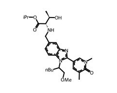 CCCCC(COC)n1c(-c2cc(C)c(=O)n(C)c2)nc2cc(CN[C@H](C(=O)OC(C)C)[C@@H](C)O)ccc21